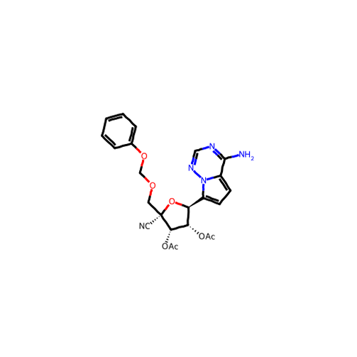 CC(=O)O[C@H]1[C@H](c2ccc3c(N)ncnn23)O[C@](C#N)(COCOc2ccccc2)[C@H]1OC(C)=O